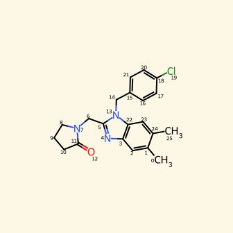 Cc1cc2nc(CN3CCCC3=O)n(Cc3ccc(Cl)cc3)c2cc1C